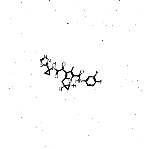 Cc1c(C(=O)C(=O)NC2(c3nncs3)CC2)c2n(c1C(=O)Nc1ccc(F)c(F)c1)[C@@H]1C[C@@H]1C2